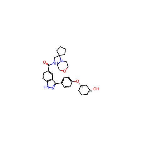 O=C(NCC1(N2CCOCC2)CCCC1)c1ccc2[nH]nc(-c3ccc(O[C@H]4CCC[C@@H](O)C4)cc3)c2c1